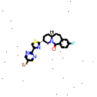 O=C1c2ccc(F)cc2CC[C@@H]2CC[C@@H](c3nc(-c4ncc(Br)cn4)cs3)CN12